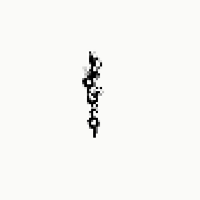 Cn1c(-c2cnco2)nc2ccc(-n3ccc(OCc4ccc(F)cc4)cc3=O)cc21